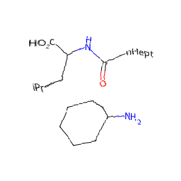 CCCCCCCC(=O)NC(CC(C)C)C(=O)O.NC1CCCCC1